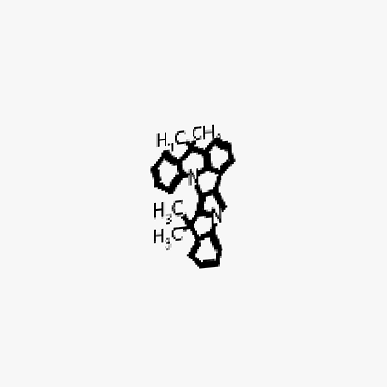 CC1(C)c2ccccc2-n2c3c1cccc3c1cn3c(c12)C(C)(C)c1ccccc1-3